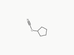 N#COC1CCCC1